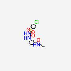 CCCNC(=O)c1cccc(NC(=O)NS(=O)(=O)c2ccc(Cl)cc2)c1